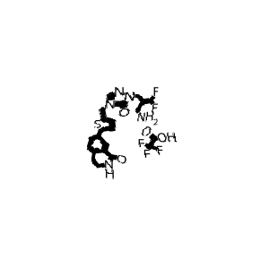 NCC(Cn1ncn(Cc2ccc(-c3ccc4c(c3)C(=O)NCC4)s2)c1=O)=C(F)F.O=C(O)C(F)(F)F